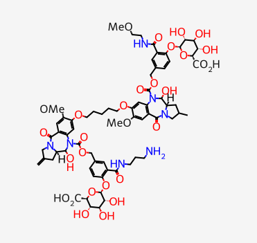 C=C1C[C@H]2C(O)N(C(=O)OCc3ccc(O[C@@H]4O[C@H](C(=O)O)[C@@H](O)[C@H](O)[C@H]4O)c(C(=O)NCCCN)c3)c3cc(OCCCCCOc4cc5c(cc4OC)C(=O)N4CC(C)C[C@H]4C(O)N5C(=O)OCc4ccc(O[C@@H]5O[C@H](C(=O)O)[C@@H](O)[C@H](O)[C@H]5O)c(C(=O)NCCOC)c4)c(OC)cc3C(=O)N2C1